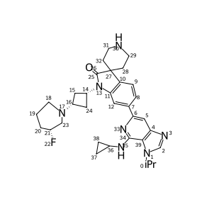 CC(C)n1cnc2cc(-c3ccc4c(c3)N([C@H]3C[C@@H](N5CCC[C@@H](F)C5)C3)C(=O)C43CCNCC3)nc(NC3CC3)c21